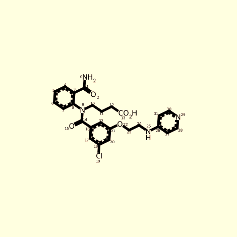 NC(=O)c1ccccc1N(CCCC(=O)O)C(=O)c1cc(Cl)cc(OCCNc2ccncc2)c1